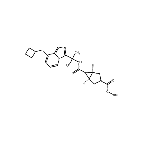 CC(C)(C)OC(=O)N1C[C@@H]2C(C(=O)NC(C)(C)c3ncc4c(SC5CCC5)cccn34)[C@@H]2C1